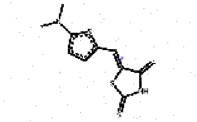 CN(C)c1ccc(/C=C2\SC(=S)NC2=S)s1